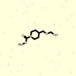 CC(C)(C)OC(=O)N1CCC(COCO)CC1